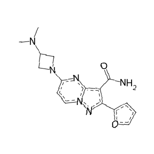 CN(C)C1CN(c2ccn3nc(-c4ccco4)c(C(N)=O)c3n2)C1